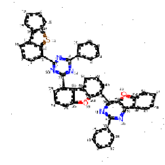 c1ccc(-c2nc(-c3cccc4c3sc3ccccc34)nc(-c3cccc4oc5c(-c6nc(-c7ccccc7)nc7c6oc6ccccc67)cccc5c34)n2)cc1